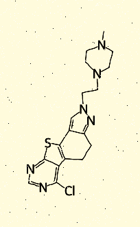 CN1CCN(CCn2cc3c(n2)CCc2c-3sc3ncnc(Cl)c23)CC1